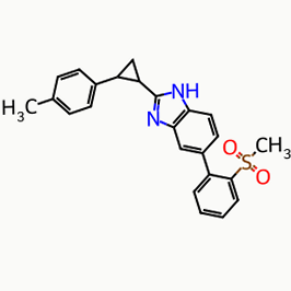 Cc1ccc(C2CC2c2nc3cc(-c4ccccc4S(C)(=O)=O)ccc3[nH]2)cc1